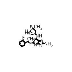 C[C@H](Sc1nc(N[C@@H](CO)CC(C)(C)F)c2sc(N)nc2n1)c1ccccc1F